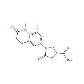 COC(=O)C1CN(c2cc(F)c3c(c2)CCC(=O)N3C)C(=O)O1